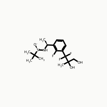 C[C@H](N[S@+]([O-])C(C)(C)C)c1cccc(C(F)(F)C(C)(O)CO)c1F